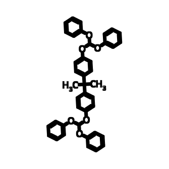 CC(C)(c1ccc(OC(Oc2ccccc2)Oc2ccccc2)cc1)c1ccc(OC(Oc2ccccc2)Oc2ccccc2)cc1